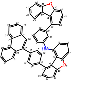 c1cc(Nc2cccc3oc4cccc(-c5ccc(-c6cc7ccccc7c7ccccc67)cc5)c4c23)cc(-c2cccc3oc4ccccc4c23)c1